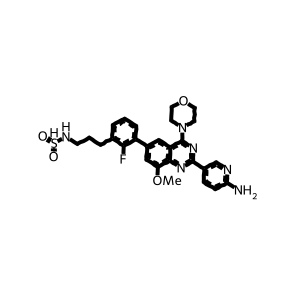 COc1cc(-c2cccc(CCCN[SH](=O)=O)c2F)cc2c(N3CCOCC3)nc(-c3ccc(N)nc3)nc12